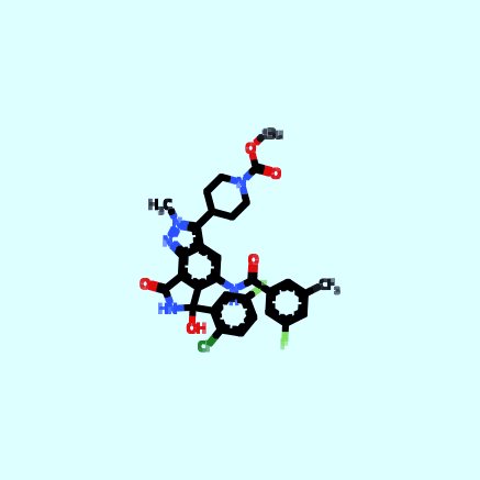 Cn1nc2c3c(c(NC(=O)c4cc(F)cc(C(F)(F)F)c4)cc2c1C1CCN(C(=O)OC(C)(C)C)CC1)C(O)(c1cc(F)ccc1Cl)NC3=O